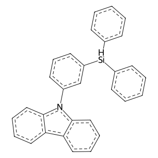 c1ccc([SiH](c2ccccc2)c2cccc(-n3c4ccccc4c4ccccc43)c2)cc1